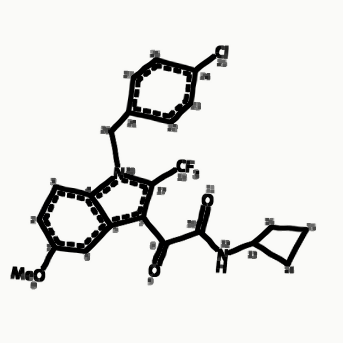 COc1ccc2c(c1)c(C(=O)C(=O)NC1CCC1)c(C(F)(F)F)n2Cc1ccc(Cl)cc1